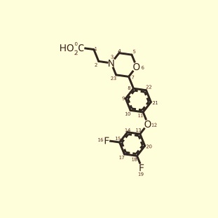 O=C(O)CCN1CCOC(c2ccc(Oc3cc(F)cc(F)c3)cc2)C1